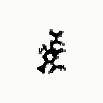 NC(=O)[C@@H]1C(C2CC2)=C[C@@H]2CN1C(=O)N2O[C@H](F)C(=O)[O-].[Li+]